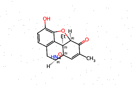 CC[C@]12c3c4ccc(O)c3O[C@H]1C(=O)C(C)=C[C@]21OCN[C@@H]1C4